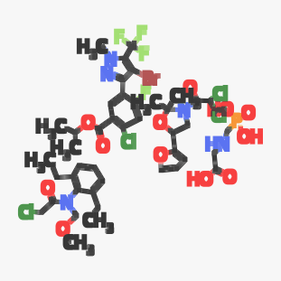 CC(C)OC(=O)c1cc(-c2nn(C)c(C(F)(F)F)c2Br)c(F)cc1Cl.CC1(C)OC(c2ccco2)CN1C(=O)C(Cl)Cl.CCc1cccc(CC)c1N(COC)C(=O)CCl.O=C(O)CNCP(=O)(O)O